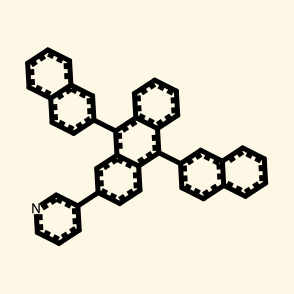 c1cncc(-c2ccc3c(-c4ccc5ccccc5c4)c4ccccc4c(-c4ccc5ccccc5c4)c3c2)c1